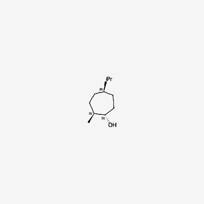 CC(C)[C@@H]1CC[C@H](C)[C@@H](O)CC1